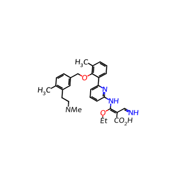 CCO/C(Nc1cccc(-c2cccc(C)c2OCc2ccc(C)c(CCNC)c2)n1)=C(/C=N)C(=O)O